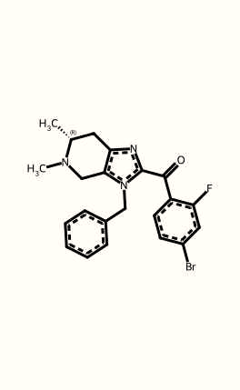 C[C@@H]1Cc2nc(C(=O)c3ccc(Br)cc3F)n(Cc3ccccc3)c2CN1C